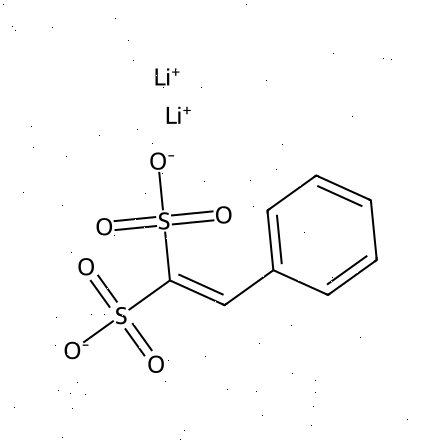 O=S(=O)([O-])C(=Cc1ccccc1)S(=O)(=O)[O-].[Li+].[Li+]